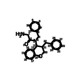 NCC(=O)N(Cc1ccccc1)C1c2ccccc2OCC1Cc1ccccc1